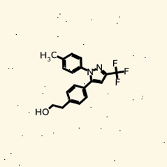 Cc1ccc(-n2nc(C(F)(F)F)cc2-c2ccc(CCO)cc2)cc1